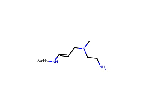 CNN/C=C/CN(C)CCN